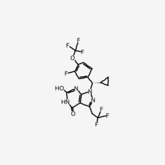 O=c1[nH]c(O)nc2c1c(CC(F)(F)F)nn2[C@H](c1ccc(OC(F)(F)F)c(F)c1)C1CC1